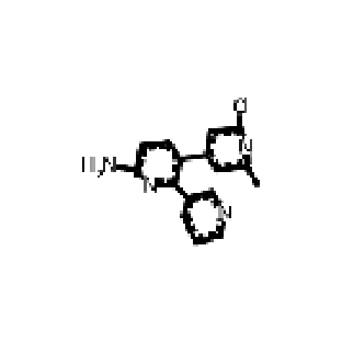 Cc1cc(-c2ccc(N)nc2-c2cccnc2)cc(Cl)n1